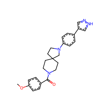 COc1ccc(C(=O)N2CCC3(CC2)CCN(c2ccc(-c4cn[nH]c4)cc2)C3)cc1